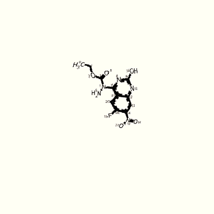 CCOC(=O)N(N)c1nc(O)nc2cc([N+](=O)[O-])c(F)cc12